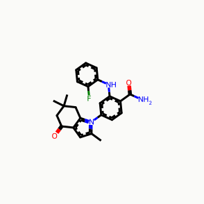 Cc1cc2c(n1-c1ccc(C(N)=O)c(Nc3ccccc3F)c1)CC(C)(C)CC2=O